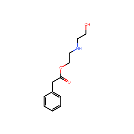 O=C(Cc1ccccc1)OCCNCCO